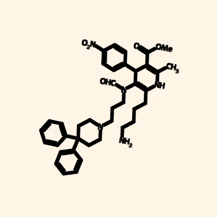 COC(=O)C1=C(C)NC(CCCCN)=C(N(C=O)CCCN2CCC(c3ccccc3)(c3ccccc3)CC2)C1c1ccc([N+](=O)[O-])cc1